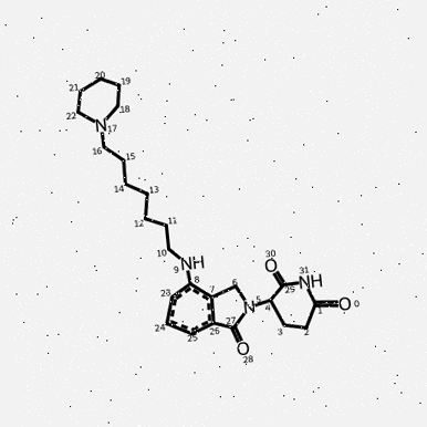 O=C1CCC(N2Cc3c(NCCCCCCCN4CCCCC4)cccc3C2=O)C(=O)N1